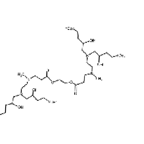 CCCCCCCCCCCCC(O)CN(CCN(C)CCC(=O)OCCOC(=O)CCN(C)CCN(CC(O)CCCCCCCCCCCC)CC(O)CCCCCCCCCCCC)CC(O)CCCCCCCCCCCC